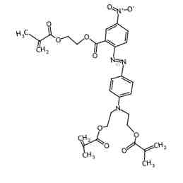 C=C(C)C(=O)OCCOC(=O)c1cc([N+](=O)[O-])ccc1/N=N/c1ccc(N(CCOC(=O)C(=C)C)CCOC(=O)C(=C)C)cc1